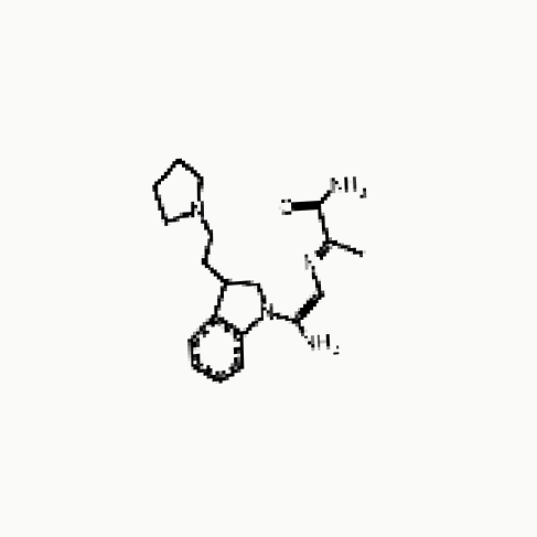 C/C(=N\C=C(\N)N1CC(CCN2CCCC2)c2ccccc21)C(N)=O